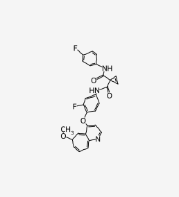 COC1C=CC=c2nccc(Oc3ccc(NC(=O)C4(C(=O)Nc5ccc(F)cc5)C=C4)cc3F)c2=C1